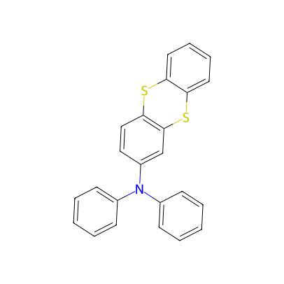 c1ccc(N(c2ccccc2)c2ccc3c(c2)Sc2ccccc2S3)cc1